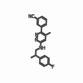 Cc1cc(NCC(C)c2ccc(F)cc2)nnc1-c1cccc(C#N)c1